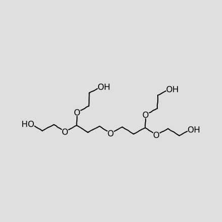 OCCOC(CCOCCC(OCCO)OCCO)OCCO